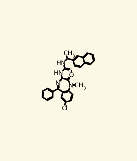 CC(NC(=S)NC1N=C(c2ccccc2)c2cc(Cl)ccc2N(C)C1=O)c1ccc2ccccc2c1